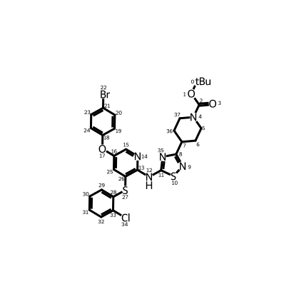 CC(C)(C)OC(=O)N1CCC(c2nsc(Nc3ncc(Oc4ccc(Br)cc4)cc3Sc3ccccc3Cl)n2)CC1